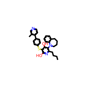 CCCCc1nc(O)c(Sc2ccc(-c3ccncc3C)cc2)c(O)c1N1CCCCc2ccccc21